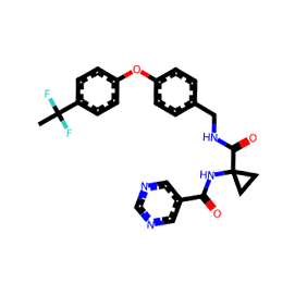 CC(F)(F)c1ccc(Oc2ccc(CNC(=O)C3(NC(=O)c4cncnc4)CC3)cc2)cc1